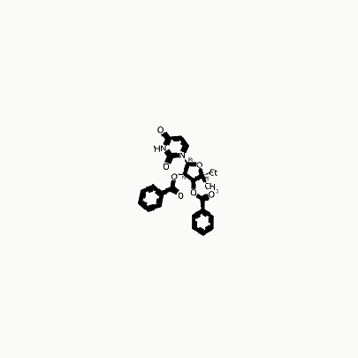 CC[C@@]1(C)O[C@@H](n2ccc(=O)[nH]c2=O)[C@@H](OC(=O)c2ccccc2)C1OC(=O)c1ccccc1